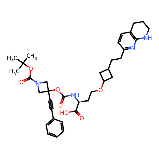 CC(C)(C)OC(=O)N1CC(C#Cc2ccccc2)(OC(=O)N[C@@H](CCOC2CC(CCc3ccc4c(n3)NCCC4)C2)C(=O)O)C1